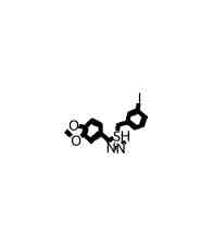 Ic1cccc(C[SH]2C=NN=C2c2ccc3c(c2)OCO3)c1